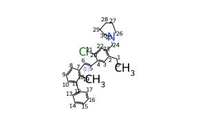 CCc1cc(/C=C/c2cccc(-c3ccccc3)c2C)c(Cl)cc1CN1CCCCC1